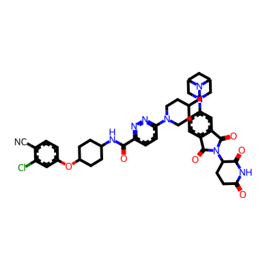 N#Cc1ccc(OC2CCC(NC(=O)c3ccc(N4CCC(CN5C6CC5CN(c5ccc7c(c5)C(=O)N(C5CCC(=O)NC5=O)C7=O)C6)CC4)nn3)CC2)cc1Cl